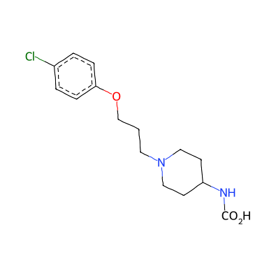 O=C(O)NC1CCN(CCCOc2ccc(Cl)cc2)CC1